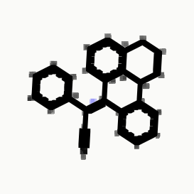 N#C/C(=C1\c2ccccc2C2C=CCc3cccc1c32)c1ccccc1